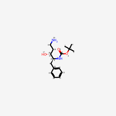 CC(C)(C)OC(=O)N[C@@H](Cc1ccccc1)[C@H](O)CCN